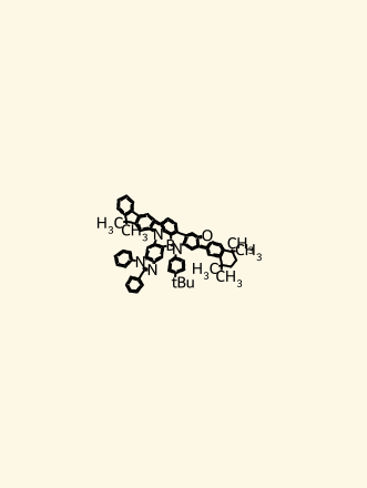 CC(C)(C)c1ccc(N2B3c4cc5nc(-c6ccccc6)n(-c6ccccc6)c5cc4-n4c5cc6c(cc5c5ccc(c3c54)-c3cc4oc5cc7c(cc5c4cc32)C(C)(C)CCC7(C)C)-c2ccccc2C6(C)C)cc1